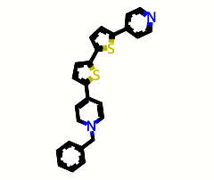 C1=CN(Cc2ccccc2)CC=C1c1ccc(-c2ccc(-c3ccncc3)s2)s1